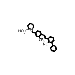 N#Cc1c(C=Cc2ccc(CN3CCCCC3C(=O)O)cc2C(F)(F)F)cccc1-c1ccccc1